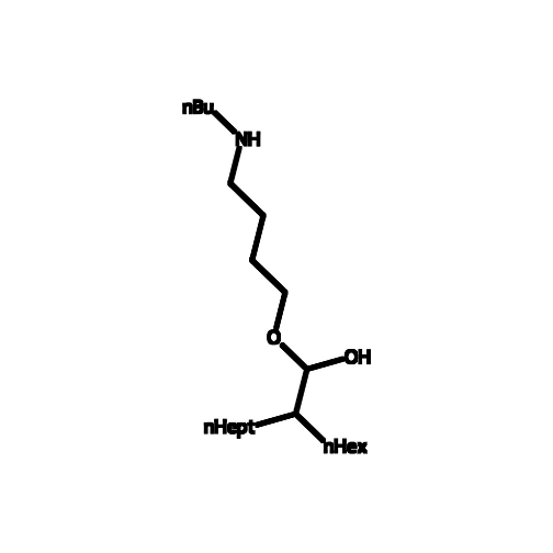 CCCCCCCC(CCCCCC)C(O)OCCCCNCCCC